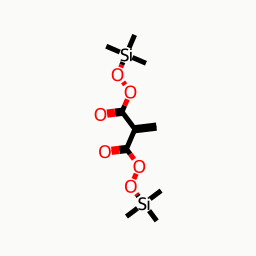 C=C(C(=O)OO[Si](C)(C)C)C(=O)OO[Si](C)(C)C